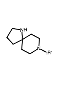 CC(C)N1CCC2(CCCN2)CC1